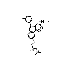 CC(C)NC(=O)Cn1c(-c2cccc(F)c2)cc2ccc(OC[C@@H](C)CN(C)C)cc2c1=O